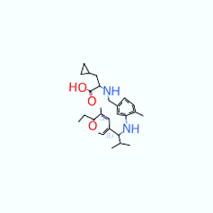 C/C=C(\C=C(\C)C(=O)CC)C(Nc1cc(CNC(CC2CC2)C(=O)O)ccc1C)C(C)C